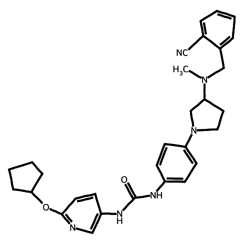 CN(Cc1ccccc1C#N)C1CCN(c2ccc(NC(=O)Nc3ccc(OC4CCCC4)nc3)cc2)C1